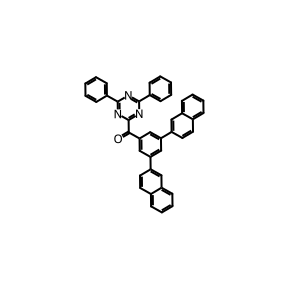 O=C(c1cc(-c2ccc3ccccc3c2)cc(-c2ccc3ccccc3c2)c1)c1nc(-c2ccccc2)nc(-c2ccccc2)n1